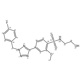 COc1cc(-c2nnn(Cc3ccc(F)cc3)n2)ccc1S(=O)(=O)NCCO